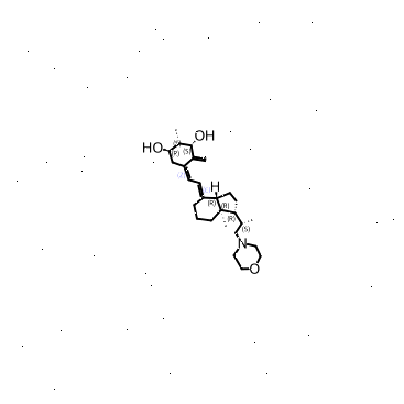 C=C1/C(=C\C=C2/CCC[C@]3(C)[C@@H]([C@H](C)CN4CCOCC4)CC[C@@H]23)C[C@@H](O)[C@H](C)[C@@H]1O